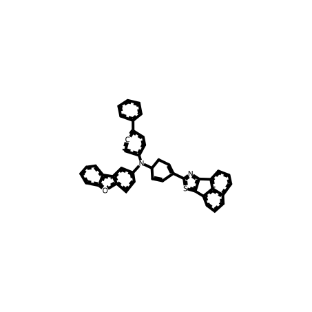 C1=CC(N(c2ccc(-c3ccccc3)cc2)c2ccc3oc4ccccc4c3c2)CC=C1c1nc2c(s1)-c1cccc3cccc-2c13